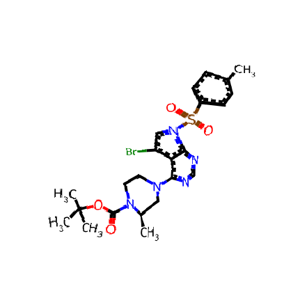 Cc1ccc(S(=O)(=O)n2cc(Br)c3c(N4CCN(C(=O)OC(C)(C)C)[C@H](C)C4)ncnc32)cc1